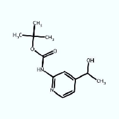 CC(O)c1ccnc(NC(=O)OC(C)(C)C)c1